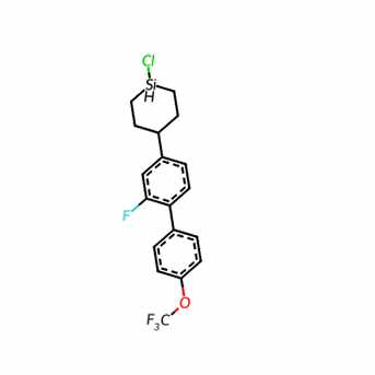 Fc1cc(C2CC[SiH](Cl)CC2)ccc1-c1ccc(OC(F)(F)F)cc1